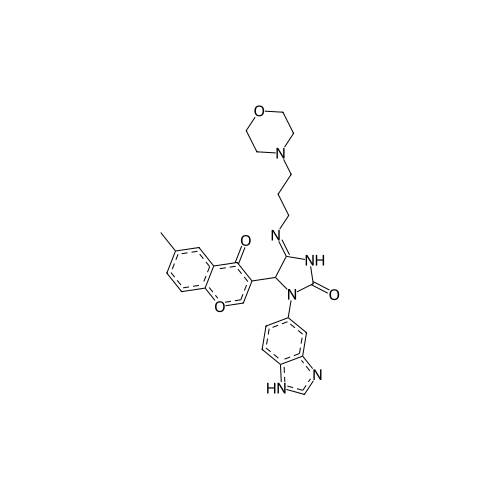 Cc1ccc2occ(C3C(=NCCCN4CCOCC4)NC(=O)N3c3ccc4[nH]cnc4c3)c(=O)c2c1